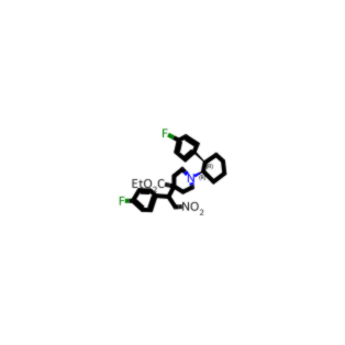 CCOC(=O)C1(C(C[N+](=O)[O-])c2ccc(F)cc2)CCN([C@@H]2CCCC[C@@H]2c2ccc(F)cc2)CC1